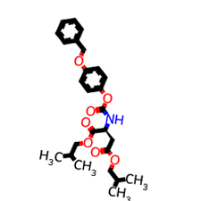 CC(C)COC(=O)C[C@H](NC(=O)Oc1ccc(OCc2ccccc2)cc1)C(=O)OCC(C)C